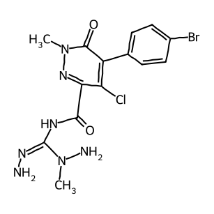 CN(N)/C(=N\N)NC(=O)c1nn(C)c(=O)c(-c2ccc(Br)cc2)c1Cl